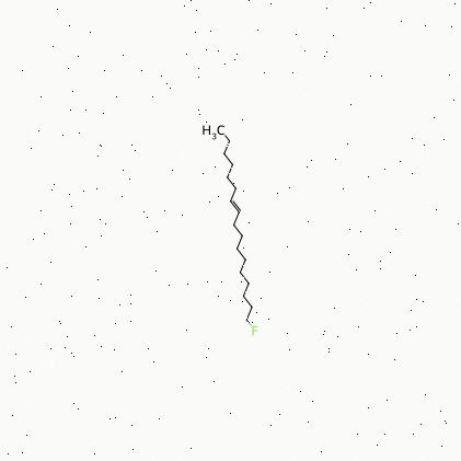 CCCCCCC=CCCCCCCCCCF